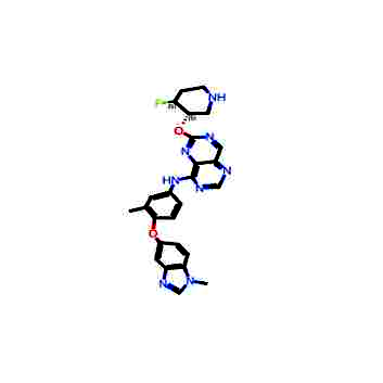 Cc1cc(Nc2ncnc3cnc(O[C@H]4CNCC[C@@H]4F)nc23)ccc1Oc1ccc2c(c1)ncn2C